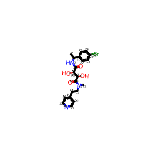 CC(NC(=O)[C@H](O)[C@@H](O)C(=O)N(C)CCc1ccncc1)c1ccc(Br)cc1